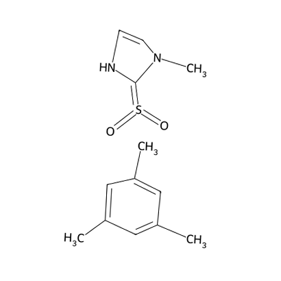 Cc1cc(C)cc(C)c1.Cn1cc[nH]c1=S(=O)=O